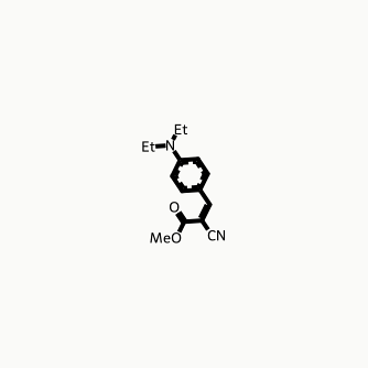 CCN(CC)c1ccc(/C=C(/C#N)C(=O)OC)cc1